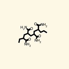 CCCC(CC(CC(CC(CC)C(N)=O)C(N)=O)C(N)=O)C(N)=O